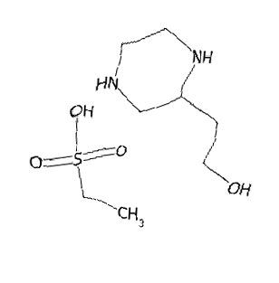 CCS(=O)(=O)O.OCCC1CNCCN1